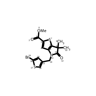 COC(=O)c1cc2c(s1)C(C)(C)C(=O)N2Cc1csc(Br)c1